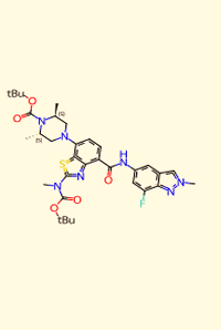 C[C@H]1CN(c2ccc(C(=O)Nc3cc(F)c4nn(C)cc4c3)c3nc(N(C)C(=O)OC(C)(C)C)sc23)C[C@H](C)N1C(=O)OC(C)(C)C